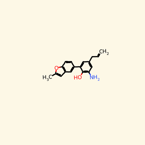 C=CCc1cc(N)c(O)c(-c2ccc3oc(C)cc3c2)c1